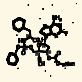 C#C[C@]1(CO[P@@](=O)(N[C@@H](Cc2ccccc2)C(=O)O)Oc2ccccc2)O[C@@H](n2cnc3c(N)nc(F)nc32)C[C@@H]1OC(=O)OCCCCCCCCC